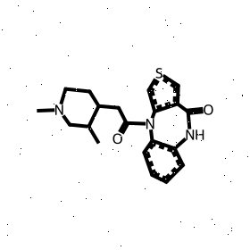 CC1CN(C)CCC1CC(=O)N1c2ccccc2NC(=O)c2cscc21